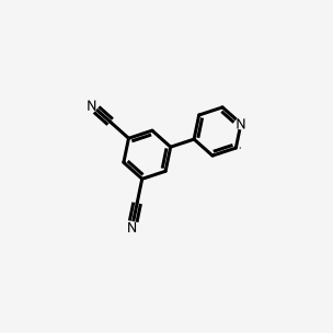 N#Cc1cc(C#N)cc(-c2c[c]ncc2)c1